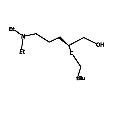 CCN(CC)CCC[C@@H](CO)CCC(C)(C)C